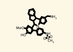 COc1cc(C2Nc3ccc(CN)cc3C3c4ccccc4CC23)c(-c2ccc(NS(C)(=O)=O)cc2)cc1O